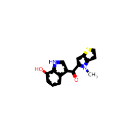 Cn1c(C(=O)c2c[nH]c3c(O)cccc23)cc2sccc21